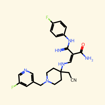 N#CCC1(N/C=C(\C(=N)Nc2ccc(F)cc2)C(N)=O)CCN(Cc2cncc(F)c2)CC1